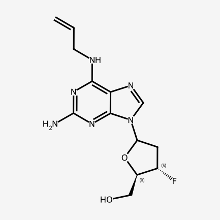 C=CCNc1nc(N)nc2c1ncn2C1C[C@H](F)[C@@H](CO)O1